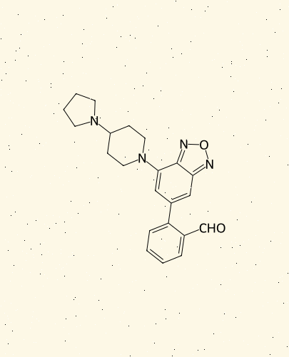 O=Cc1ccccc1-c1cc(N2CCC(N3CCCC3)CC2)c2nonc2c1